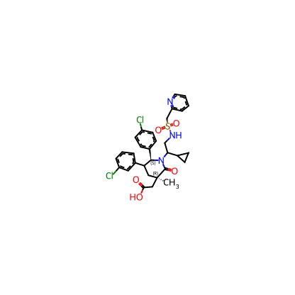 C[C@]1(CC(=O)O)CC(c2cccc(Cl)c2)[C@@H](c2ccc(Cl)cc2)N(C(CNS(=O)(=O)Cc2ccccn2)C2CC2)C1=O